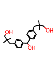 CC(C)(CO)Cc1ccc(C(O)c2ccc(CC(C)(C)CO)cc2)cc1